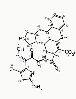 Nc1nc(/C(=N/O)C(=O)N[C@@H]2C(=O)N3C(C(=O)O)=C(Sc4cccnc4CSC4CCNC4)CCC23)c(Cl)s1